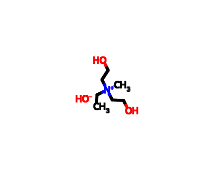 CC[N+](C)(CCO)CCO.[OH-]